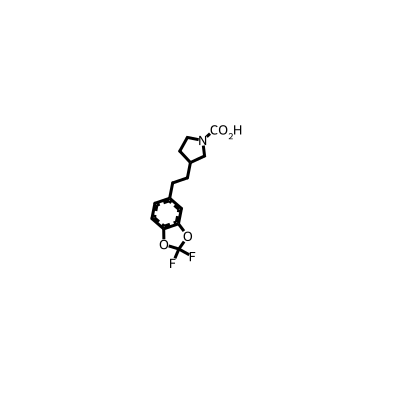 O=C(O)N1CCC(CCc2ccc3c(c2)OC(F)(F)O3)C1